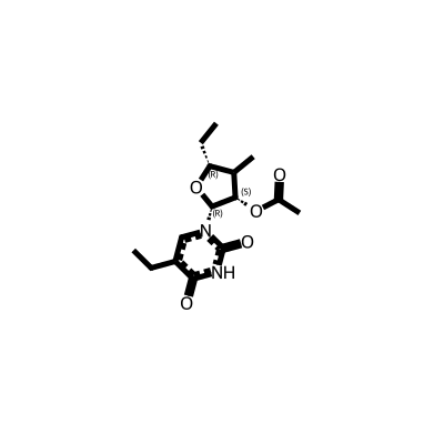 CCc1cn([C@@H]2O[C@H](CC)C(C)[C@@H]2OC(C)=O)c(=O)[nH]c1=O